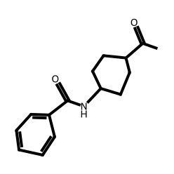 CC(=O)C1CCC(NC(=O)c2ccccc2)CC1